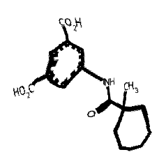 CC1(C(=O)Nc2cc(C(=O)O)cc(C(=O)O)c2)CCCCC1